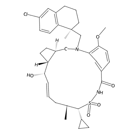 COc1ccc2cc1N(C[C@]1(C)CCCc3cc(Cl)ccc31)C[C@@H]1CC[C@H]1[C@@H](O)/C=C/C[C@H](C)[C@@H](C1CC1)S(=O)(=O)NC2=O